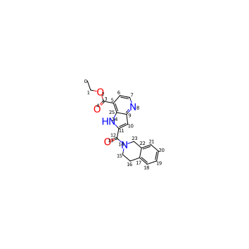 CCOC(=O)c1ccnc2cc(C(=O)N3CCc4ccccc4C3)[nH]c12